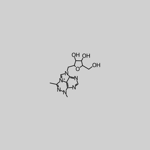 CC1=NN(C)c2ncnc3c2[n+]1cn3CC1OC(CO)C(O)C1O